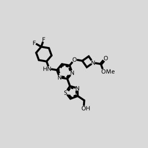 COC(=O)N1CC(Oc2cc(NC3CCC(F)(F)CC3)nc(-c3nc(CO)cs3)n2)C1